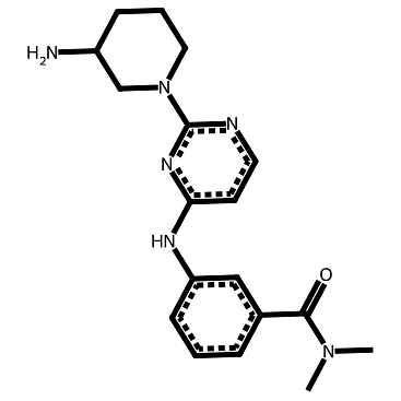 CN(C)C(=O)c1cccc(Nc2ccnc(N3CCCC(N)C3)n2)c1